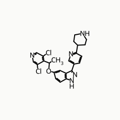 CC(Oc1ccc2[nH]nc(-c3ccc(C4CCNCC4)nc3)c2c1)c1c(Cl)cncc1Cl